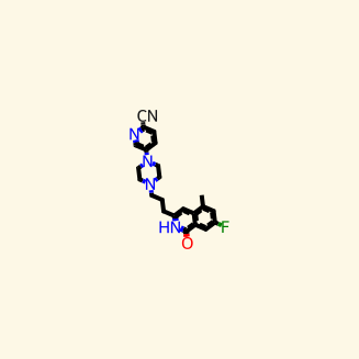 Cc1cc(F)cc2c(=O)[nH]c(CCCN3CCN(c4ccc(C#N)nc4)CC3)cc12